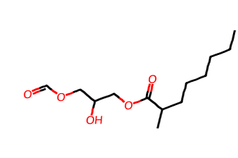 CCCCCCC(C)C(=O)OCC(O)COC=O